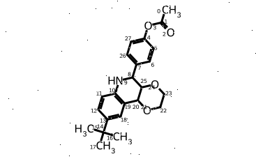 CC(=O)Oc1ccc(C2Nc3ccc(C(C)(C)C)cc3C3OCCOC23)cc1